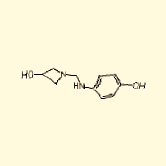 Oc1ccc(NCN2CC(O)C2)cc1